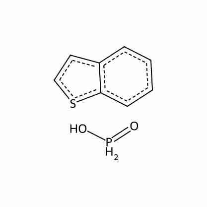 O=[PH2]O.c1ccc2sccc2c1